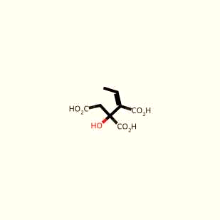 CC=C(C(=O)O)C(O)(CC(=O)O)C(=O)O